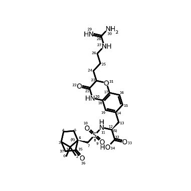 CC1(C)C2CC[C@]1(CS(=O)(=O)N[C@@H](Cc1ccc3c(c1)NC(=O)C(CCCNC(=N)N)O3)C(=O)O)C(=O)C2